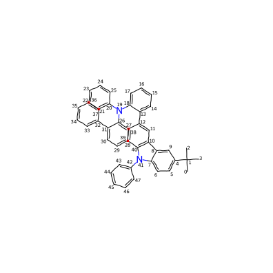 CC(C)(C)c1ccc2c(c1)c1cc(-c3ccccc3N(c3ccccc3)c3ccccc3-c3ccccc3)ccc1n2-c1ccccc1